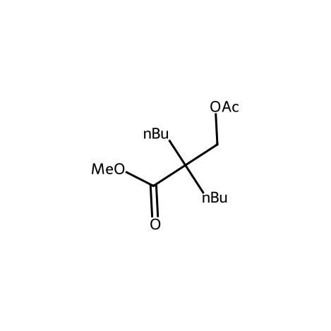 CCCCC(CCCC)(COC(C)=O)C(=O)OC